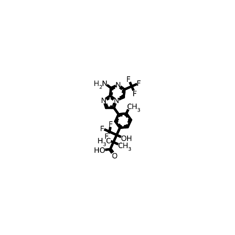 Cc1ccc(C(O)(C(F)(F)F)C(C)(C)C(=O)O)cc1-c1cnc2c(N)nc(C(F)(F)F)cn12